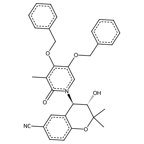 Cc1c(OCc2ccccc2)c(OCc2ccccc2)cn([C@@H]2c3cc(C#N)ccc3OC(C)(C)[C@H]2O)c1=O